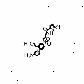 CCCc1cc(N2CC(CNC(=O)c3ccc(Cl)s3)OC2=O)ccc1N1CCC(N)C1